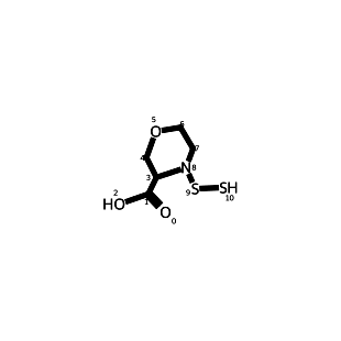 O=C(O)C1COCCN1SS